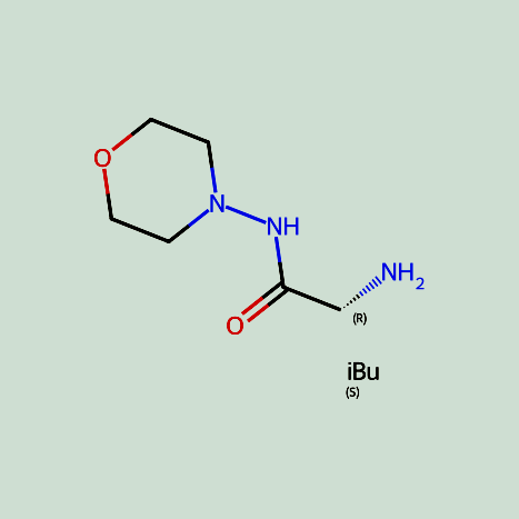 CC[C@H](C)[C@@H](N)C(=O)NN1CCOCC1